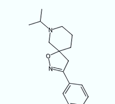 CC(C)N1CCCC2(CC(c3ccccc3)=NO2)C1